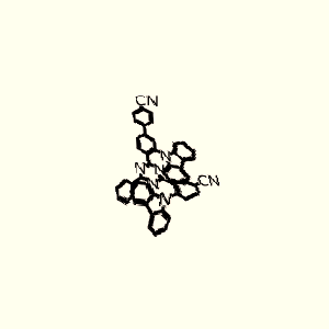 N#Cc1ccc(-c2ccc(-c3nc(-c4ccccc4)nc(-c4cc(C#N)ccc4-n4c5ccccc5c5ccccc54)n3)c(-n3c4ccccc4c4ccccc43)c2)cc1